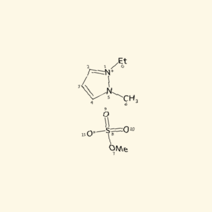 CC[n+]1cccn1C.COS(=O)(=O)[O-]